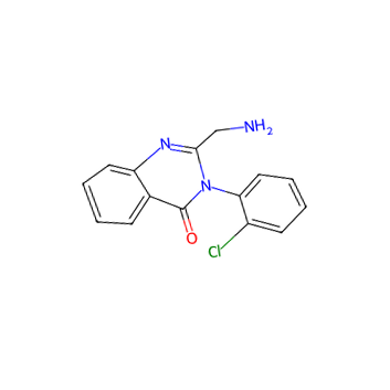 NCc1nc2ccccc2c(=O)n1-c1ccccc1Cl